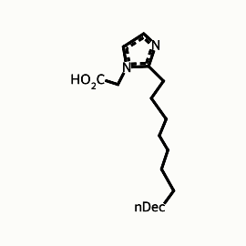 CCCCCCCCCCCCCCCCCc1nccn1CC(=O)O